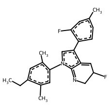 CCc1cc(C)c(-n2cc(-c3ccc(C)cc3F)c3c2=NCC(F)C=3)cc1C